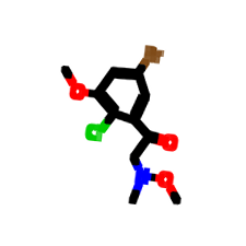 COc1cc(Br)cc(C(=O)CN(C)OC)c1Cl